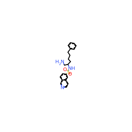 NCC(CCCCc1ccccc1)NS(=O)(=O)c1ccc2cnccc2c1